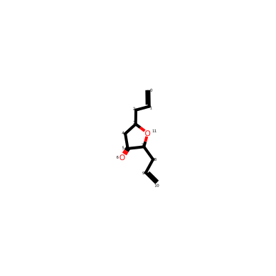 C=CCC1CC(=O)C(CC=C)O1